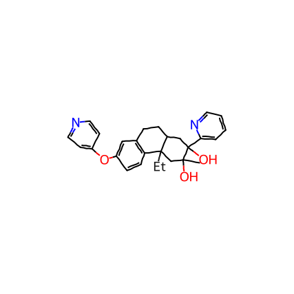 CCC12CC(C)(O)C(O)(c3ccccn3)CC1CCc1cc(Oc3ccncc3)ccc12